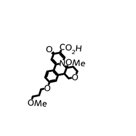 COCCCOc1ccc2c(c1)C1COCCC1(OC)n1cc(C(=O)O)c(=O)cc1-2